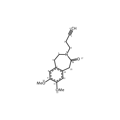 C#CCCN1CCc2cc(OC)c(OC)cc2CC1=O